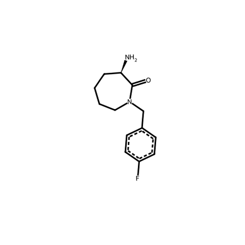 N[C@@H]1CCCCN(Cc2ccc(F)cc2)C1=O